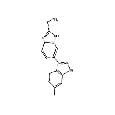 NCc1nc2ccc(-c3c[nH]c4cc(F)ccc34)cc2[nH]1